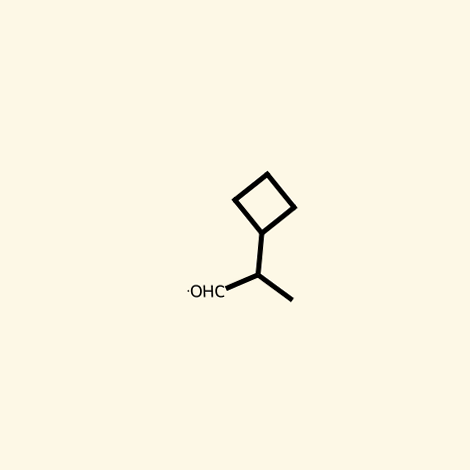 CC([C]=O)C1CCC1